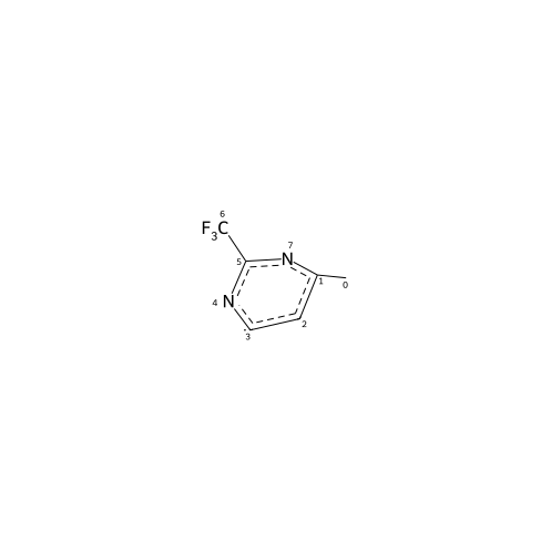 Cc1c[c]nc(C(F)(F)F)n1